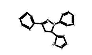 c1ccc(C2=NN(c3ccccc3)C(c3ccc[nH]3)C2)cc1